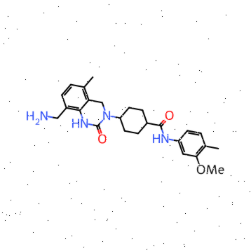 COc1cc(NC(=O)C2CCC(N3Cc4c(C)ccc(CN)c4NC3=O)CC2)ccc1C